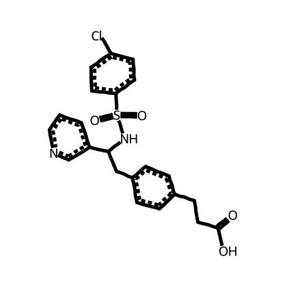 O=C(O)CCc1ccc(CC(NS(=O)(=O)c2ccc(Cl)cc2)c2cccnc2)cc1